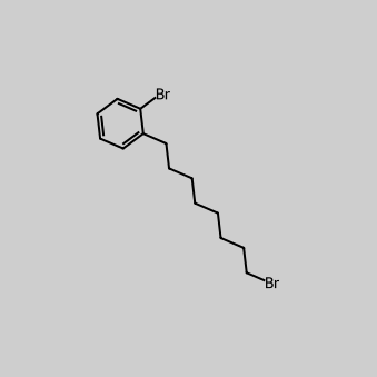 BrCCCCCCCCc1ccccc1Br